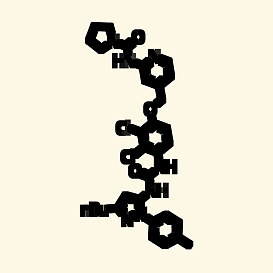 CCCCc1cc(NC(=O)Nc2ccc(OCc3ccnc(NC(=O)N4CCCC4)c3)c(Cl)c2Cl)n(-c2ccc(C)cc2)n1